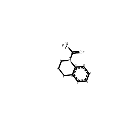 O=C(N1CCCc2ccccc21)C(F)(F)F